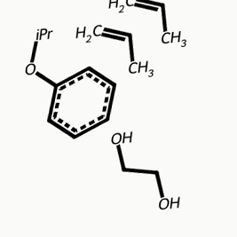 C=CC.C=CC.CC(C)Oc1ccccc1.OCCO